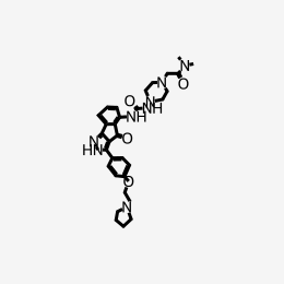 CN(C)C(=O)CN1CCN(NC(=O)Nc2cccc3c2C(=O)c2c-3n[nH]c2-c2ccc(OCCN3CCCC3)cc2)CC1